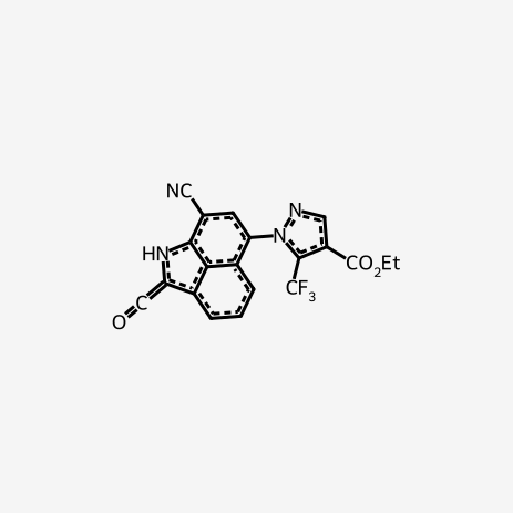 CCOC(=O)c1cnn(-c2cc(C#N)c3[nH]c(=C=O)c4cccc2c34)c1C(F)(F)F